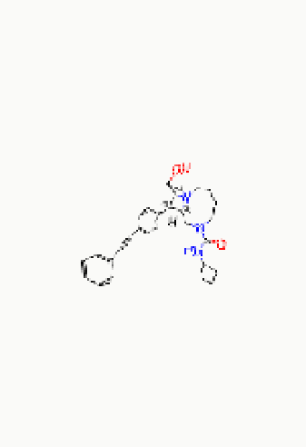 O=C(NC1CCC1)N1CCCCN2[C@H](CO)[C@H](c3ccc(C#Cc4ccccc4)cc3)[C@@H]2C1